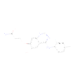 COc1cc2c(Nc3ccc(C)cc3F)ncnc2cc1OCCC(N)=O